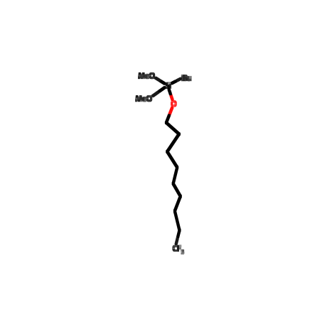 CCC(C)[Si](OC)(OC)OCCCCCCCCC(F)(F)F